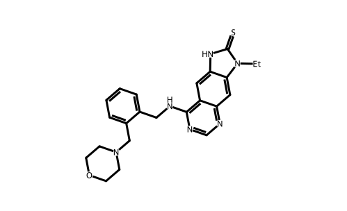 CCn1c(=S)[nH]c2cc3c(NCc4ccccc4CN4CCOCC4)ncnc3cc21